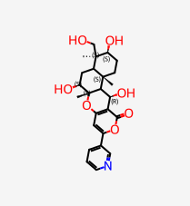 C[C@]12CC[C@H](O)[C@](C)(CO)C1C[C@H](O)[C@@]1(C)Oc3cc(-c4cccnc4)oc(=O)c3[C@H](O)C21